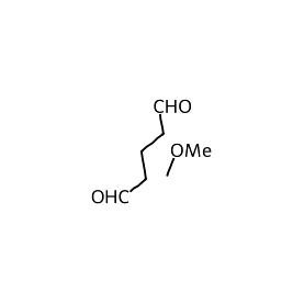 COC.O=CCCCC=O